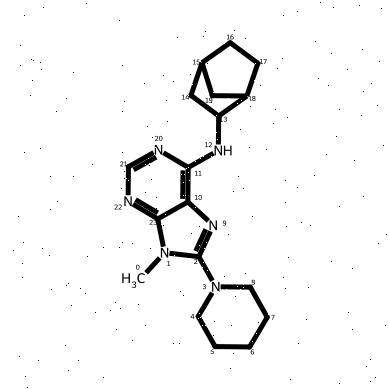 Cn1c(N2CCCCC2)nc2c(NC3CC4CCC3C4)ncnc21